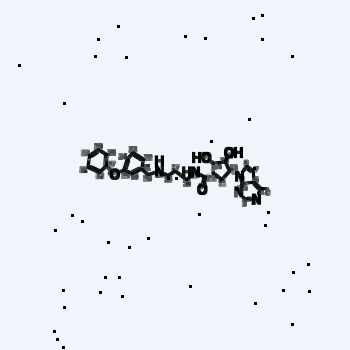 Cc1ncnc2c1ccn2[C@@H]1C[C@H](C(=O)NCCCNCc2cccc(Oc3ccccc3)c2)[C@@H](O)[C@H]1O